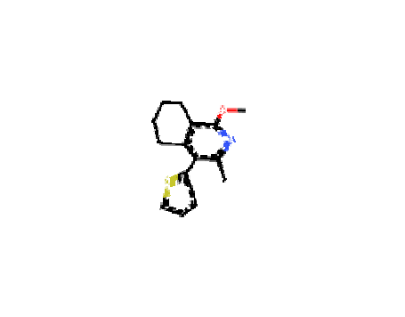 COc1nc(C)c(-c2cccs2)c2c1CCCC2